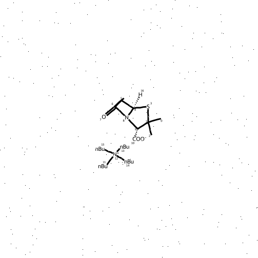 CC1(C)S[C@@H]2CC(=O)N2[C@H]1C(=O)[O-].CCCC[N+](CCCC)(CCCC)CCCC